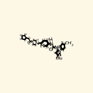 Cc1ccc(-n2nc(C(C)(C)C)cc2NC(=O)Nc2ccc(N3CCN(C(=O)CC4CCCC4)CC3)nc2)cc1